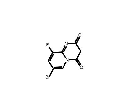 O=C1CC(=O)N2C=C(Br)C=C(F)C2=N1